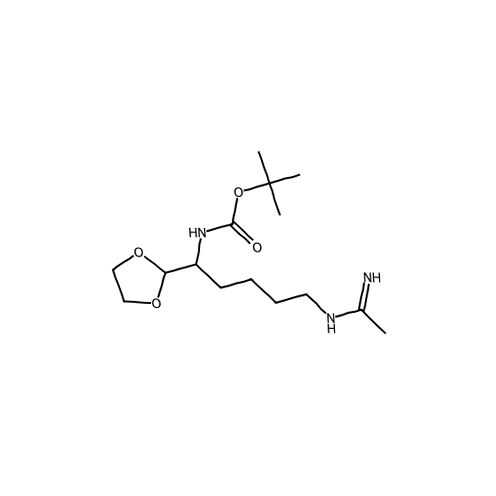 CC(=N)NCCCCC(NC(=O)OC(C)(C)C)C1OCCO1